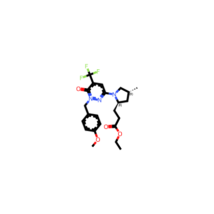 CCOC(=O)CC[C@@H]1C[C@@H](C)CN1c1cc(C(F)(F)F)c(=O)n(Cc2ccc(OC)cc2)n1